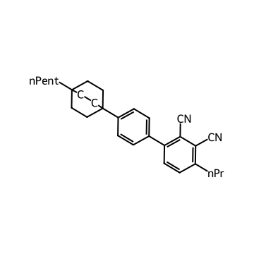 CCCCCC12CCC(c3ccc(-c4ccc(CCC)c(C#N)c4C#N)cc3)(CC1)CC2